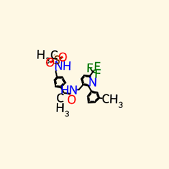 Cc1cccc(-c2nc(C(F)(F)F)ccc2CNC(=O)C(C)c2ccc(CNS(C)(=O)=O)cc2)c1